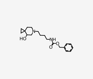 O=C(NCCCCN1CCC2(CC2)C(O)C1)OCc1ccccc1